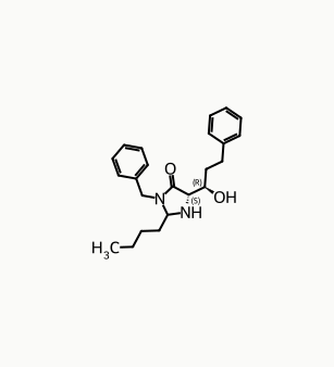 CCCCC1N[C@@H]([C@H](O)CCc2ccccc2)C(=O)N1Cc1ccccc1